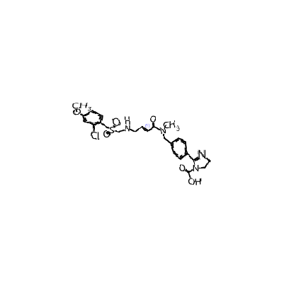 COc1ccc(S(=O)(=O)CNC/C=C/C(=O)N(C)Cc2ccc(C3=NCCN3C(=O)O)cc2)c(Cl)c1